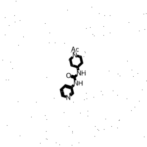 CC(=O)N1CCC(NC(=O)Nc2cccnc2)CC1